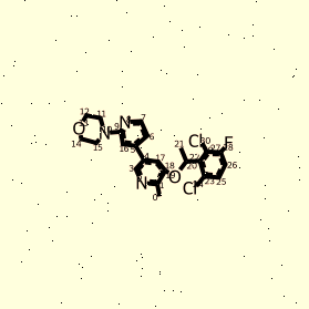 Cc1ncc(-c2ccnc(N3CCOCC3)c2)cc1OC(C)c1c(Cl)ccc(F)c1Cl